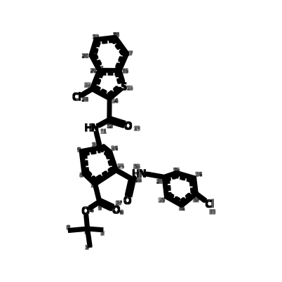 CC(C)(C)OC(=O)c1ccc(NC(=O)c2sc3ccccc3c2Cl)cc1C(=O)Nc1ccc(Cl)cc1